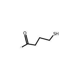 [CH2]C(=O)CCCS